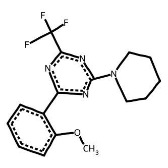 COc1ccccc1-c1nc(N2CCCCC2)nc(C(F)(F)F)n1